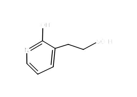 O=S(=O)(O)CCc1cccnc1O